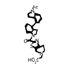 CC(=O)N1CCc2c(-c3cccc4c3CCN4C(=O)c3nc4c(s3)CN(CC(=O)O)CC4)cccc21